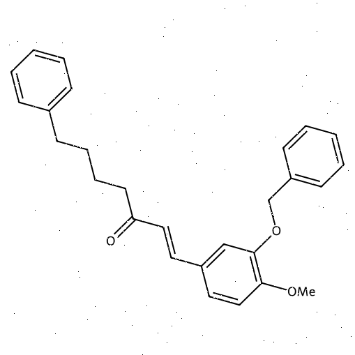 COc1ccc(C=CC(=O)CCCCc2ccccc2)cc1OCc1ccccc1